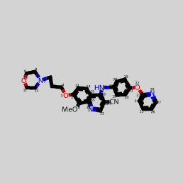 COc1c(OCCCN2CCOCC2)ccc2c(Nc3ccc(Oc4ccccn4)cc3)c(C#N)cnc12